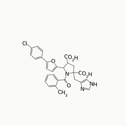 Cc1ccccc1C(=O)N1C(c2ccc(-c3ccc(Cl)cc3)o2)C(C(=O)O)CC1(Cc1c[nH]cn1)C(=O)O